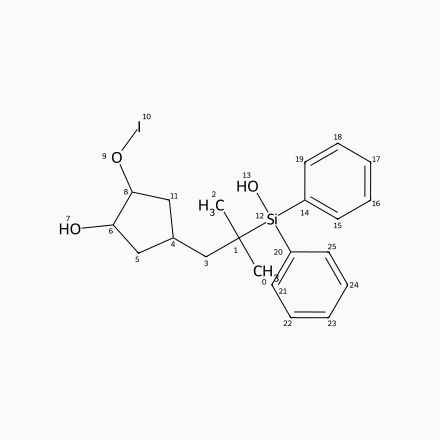 CC(C)(CC1CC(O)C(OI)C1)[Si](O)(c1ccccc1)c1ccccc1